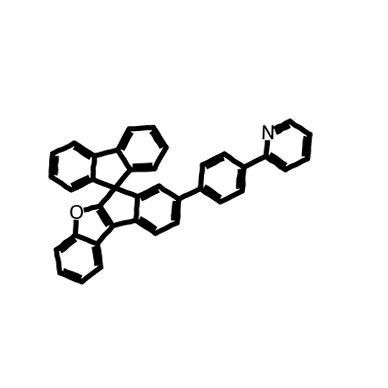 c1ccc(-c2ccc(-c3ccc4c(c3)C3(c5ccccc5-c5ccccc53)c3oc5ccccc5c3-4)cc2)nc1